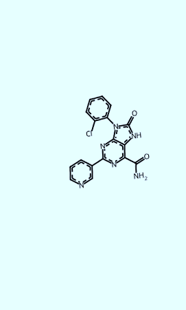 NC(=O)c1nc(-c2cccnc2)nc2c1[nH]c(=O)n2-c1ccccc1Cl